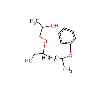 CC(C)Oc1ccccc1.CC(O)COC(C)CO